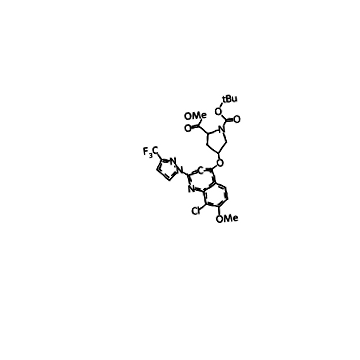 COC(=O)C1CC(Oc2cc(-n3ccc(C(F)(F)F)n3)nc3c(Cl)c(OC)ccc23)CN1C(=O)OC(C)(C)C